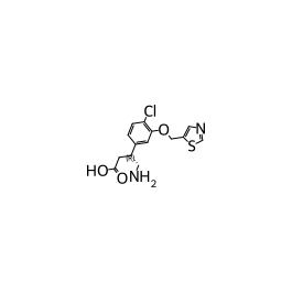 NC[C@H](CC(=O)O)c1ccc(Cl)c(OCc2cncs2)c1